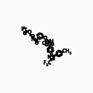 Cc1ccc(-c2cc(C(F)(F)F)nn2-c2ccc(S(=O)(=O)NC(=O)OC3CCCN(/[N+]([O-])=N\OCOC(=O)C(C)C)C3)cc2)cc1